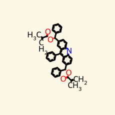 C=C(C)C(=O)OC(c1ccccc1)c1ccc2nc3ccc(C(OC(=O)C(=C)C)c4ccccc4)cc3c(-c3ccccc3)c2c1